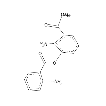 COC(=O)c1cccc(OC(=O)c2ccccc2N)c1N